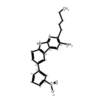 CCCCCc1nc2[nH]c3ccc(-c4cccc([N+](=O)[O-])c4)cc3c2cc1N